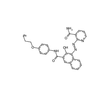 CC(C)CCOc1ccc(NC(=O)c2cc3ccccc3c(/N=N/c3ncccc3C(N)=O)c2O)cc1